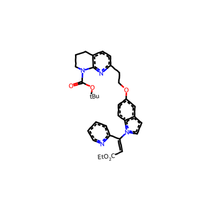 CCOC(=O)C=C(c1ccccn1)n1ccc2cc(OCCc3ccc4c(n3)N(C(=O)OC(C)(C)C)CCC4)ccc21